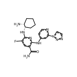 NC(=O)c1cc(F)c(N[C@H]2CCCC[C@H]2N)nc1Nc1ccnc(-n2ccnn2)c1